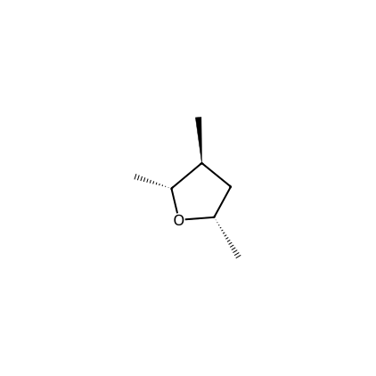 C[C@H]1C[C@H](C)[C@@H](C)O1